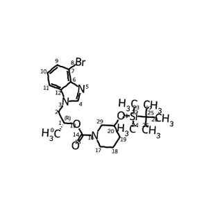 C[C@H](Cn1cnc2c(Br)cccc21)OC(=O)N1CCCC(O[Si](C)(C)C(C)(C)C)C1